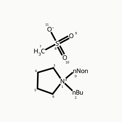 CCCCCCCCC[N+]1(CCCC)CCCC1.CS(=O)(=O)[O-]